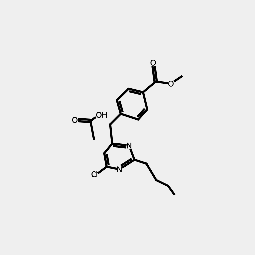 CC(=O)O.CCCCc1nc(Cl)cc(Cc2ccc(C(=O)OC)cc2)n1